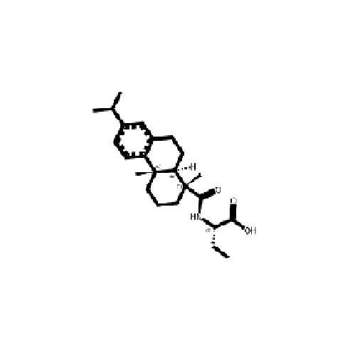 CC[C@H](NC(=O)[C@]1(C)CCC[C@]2(C)c3ccc(C(C)C)cc3CC[C@@H]12)C(=O)O